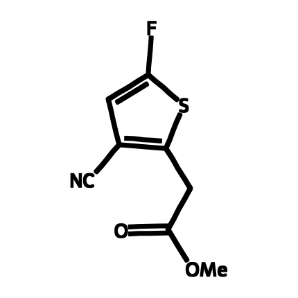 COC(=O)Cc1sc(F)cc1C#N